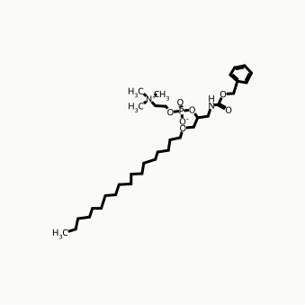 CCCCCCCCCCCCCCCCCCOCC(CNC(=O)OCc1ccccc1)OP(=O)([O-])OCC[N+](C)(C)C